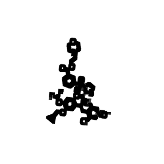 O=C(OCCN1CCOCC1)c1cccc(S(=O)(=O)N2CCS[C@@H]2C(=O)O[C@@H](Cc2c(Cl)c[n+]([O-])cc2Cl)c2ccc(OC(F)F)c(OCC3CC3)c2)c1